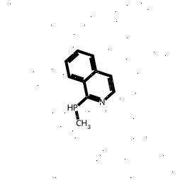 CPc1nccc2ccccc12